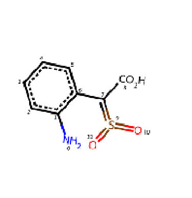 Nc1ccccc1C(C(=O)O)=S(=O)=O